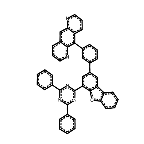 c1ccc(-c2nc(-c3ccccc3)nc(-c3cc(-c4cccc(-c5c6cccnc6cc6cccnc56)c4)cc4c3oc3ccccc34)n2)cc1